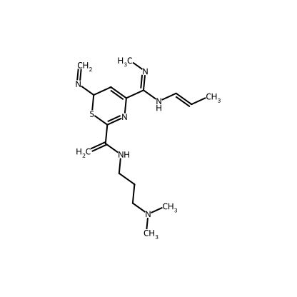 C=NC1C=C(/C(=N\C)N/C=C/C)N=C(C(=C)NCCCN(C)C)S1